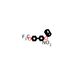 O=[N+]([O-])c1cc(-c2ccc(OC(F)(F)F)cc2)ccc1OC1C2CC3CC(C2)CC1C3